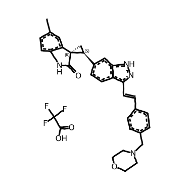 Cc1ccc2c(c1)[C@]1(C[C@H]1c1ccc3c(C=Cc4ccc(CN5CCOCC5)cc4)n[nH]c3c1)C(=O)N2.O=C(O)C(F)(F)F